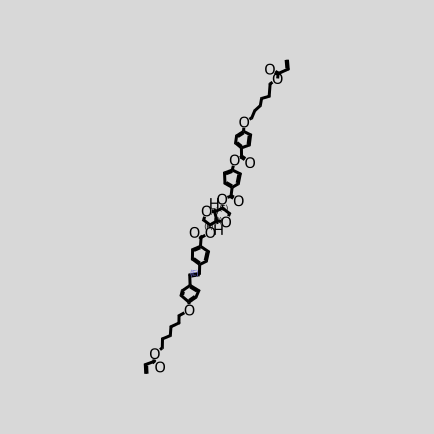 C=CC(=O)OCCCCCCOc1ccc(/C=C/c2ccc(C(=O)O[C@@H]3CO[C@H]4[C@@H]3OC[C@@H]4OC(=O)c3ccc(OC(=O)c4ccc(OCCCCCCOC(=O)C=C)cc4)cc3)cc2)cc1